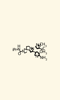 CC(C)NC(=O)N1CC[C@@]2(CCn3nc(-c4cnc(N)c(OC(C)c5ccnn5C)c4)cc32)C1